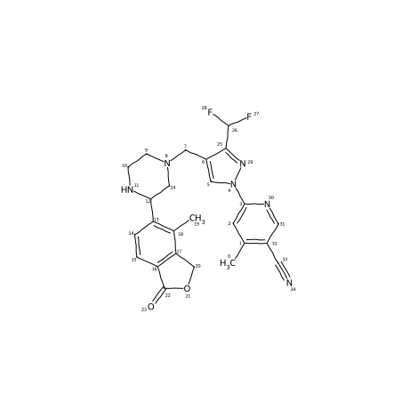 Cc1cc(-n2cc(CN3CCNC(c4ccc5c(c4C)COC5=O)C3)c(C(F)F)n2)ncc1C#N